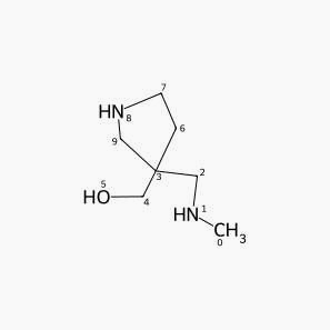 CNCC1(CO)CCNC1